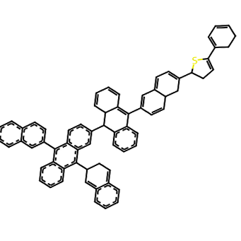 C1=CCCC(C2=CCC(C3=CC=C4C=C(C5=C6C=CC=CC6C(c6ccc7c(-c8ccc9ccccc9c8)c8ccccc8c(C8C=c9ccccc9=CC8)c7c6)c6ccccc65)C=CC4C3)S2)=C1